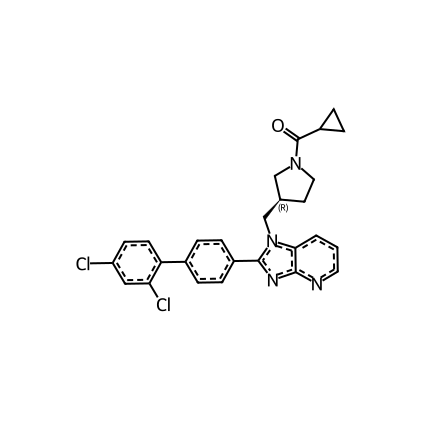 O=C(C1CC1)N1CC[C@@H](Cn2c(-c3ccc(-c4ccc(Cl)cc4Cl)cc3)nc3ncccc32)C1